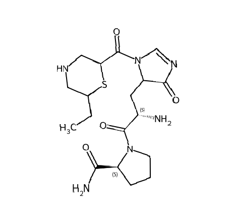 CCC1CNCC(C(=O)N2C=NC(=O)C2C[C@H](N)C(=O)N2CCC[C@H]2C(N)=O)S1